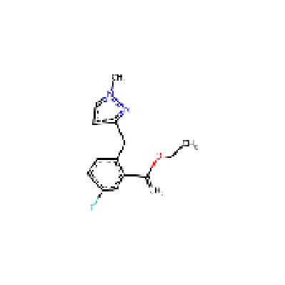 C=C(OCC)c1cc(F)ccc1Cc1ccn(C)n1